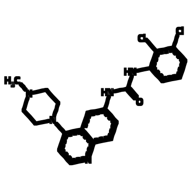 CN1CCN(c2ccnc3ccc(NC(=O)Nc4cccc(Cl)c4Cl)cc23)CC1